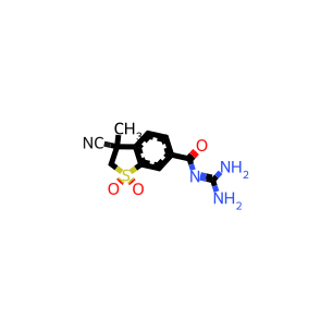 CC1(C#N)CS(=O)(=O)c2cc(C(=O)N=C(N)N)ccc21